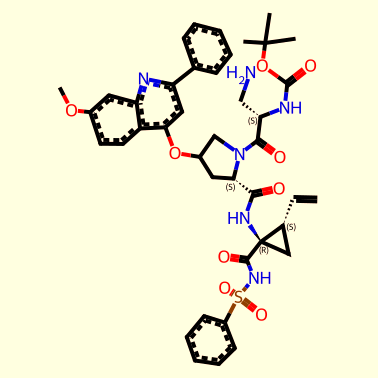 C=C[C@@H]1C[C@]1(NC(=O)[C@@H]1CC(Oc2cc(-c3ccccc3)nc3cc(OC)ccc23)CN1C(=O)[C@H](CN)NC(=O)OC(C)(C)C)C(=O)NS(=O)(=O)c1ccccc1